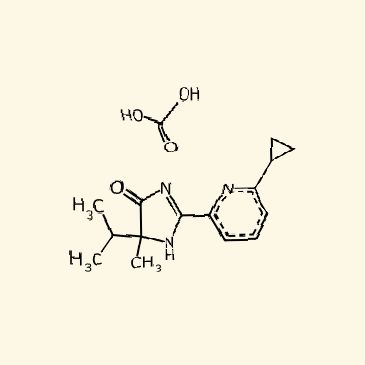 CC(C)C1(C)NC(c2cccc(C3CC3)n2)=NC1=O.O=C(O)O